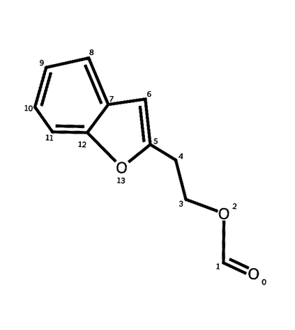 O=COCCc1cc2ccccc2o1